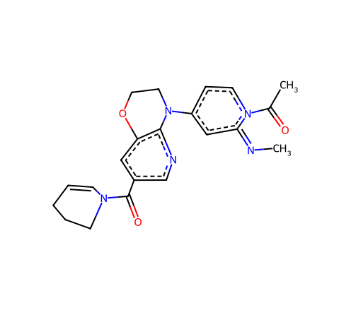 C/N=c1/cc(N2CCOc3cc(C(=O)N4C=CCCC4)cnc32)ccn1C(C)=O